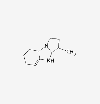 CC1CCN2C3CCCC=C3NC12